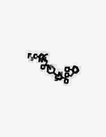 Cc1cc(C(F)(F)F)nn1CC(=O)N1CCC(c2nc(C(=O)OCc3ccccc3Cl)cs2)CC1